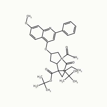 CCC1CC1(C(=O)OC(C)(C)C)C1CC(Oc2cc(-c3ccccc3)nc3cc(OC)ccc23)C[N+]1(C(N)=O)C(=O)OC(C)(C)C